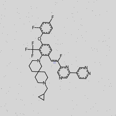 F/C(=C\c1ccc(Oc2ccc(F)cc2F)c(C(F)(F)F)c1N1CCCC2(CCN(CC3CC3)CC2)C1)c1cncc(-c2ccnnc2)n1